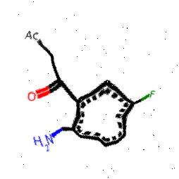 CC(=O)CC(=O)c1cc(F)ccc1N